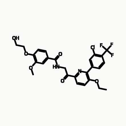 CCOc1ccc(C(=O)CNC(=O)c2ccc(OCCO)c(OC)c2)nc1-c1ccc(C(F)(F)F)c(Cl)c1